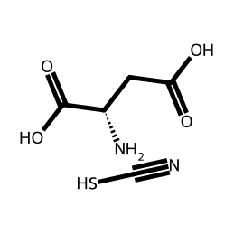 N#CS.N[C@@H](CC(=O)O)C(=O)O